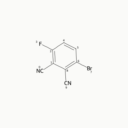 N#Cc1c(F)ccc(Br)c1C#N